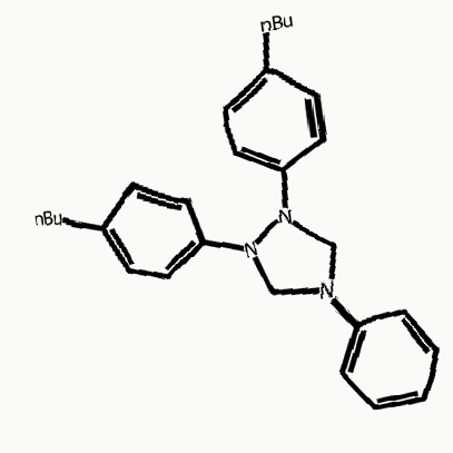 CCCCc1ccc(N2CN(c3ccccc3)CN2c2ccc(CCCC)cc2)cc1